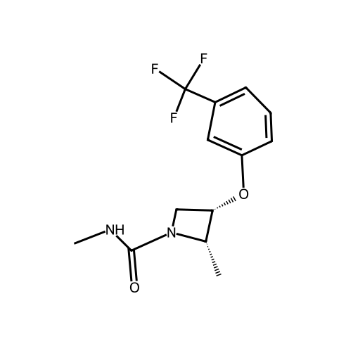 CNC(=O)N1C[C@H](Oc2cccc(C(F)(F)F)c2)[C@@H]1C